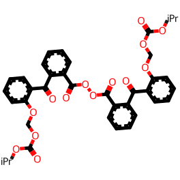 CC(C)OC(=O)OCOc1ccccc1C(=O)c1ccccc1C(=O)OOC(=O)c1ccccc1C(=O)c1ccccc1OCOC(=O)OC(C)C